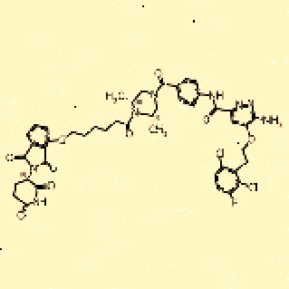 C[C@@H]1CN(C(=O)c2ccc(NC(=O)c3cc(OCCc4c(Cl)ccc(F)c4Cl)c(N)nn3)cc2)C[C@H](C)N1C(=O)CCCCCSc1cccc2c1C(=O)N([C@@H]1CCC(=O)NC1=O)C2=O